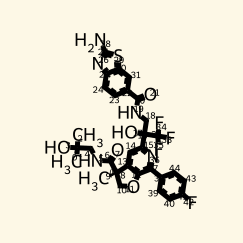 CC(C)(O)CNC(=O)[C@@]1(C)COc2c1cc(C(O)(CNC(=O)c1ccc3nc(N)sc3c1)C(F)(F)F)nc2-c1ccc(F)cc1